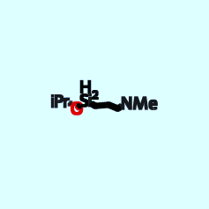 CNCCC[SiH2]OC(C)C